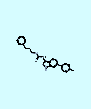 Cc1ccc(-c2ccc3c(NC(=O)NCCCc4ccccc4)n[nH]c3c2)cc1